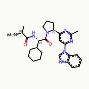 CN[C@@H](C)C(=O)N[C@H](C(=O)N1CCC[C@H]1c1cc(-n2cnc3ccccc32)nc(C)n1)C1CCCCC1